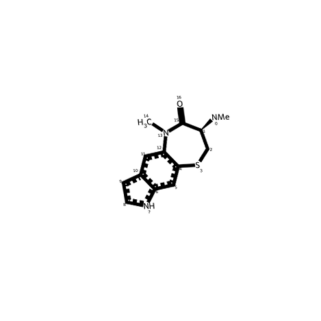 CN[C@H]1CSc2cc3[nH]ccc3cc2N(C)C1=O